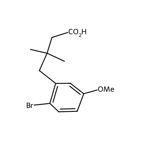 COc1ccc(Br)c(CC(C)(C)CC(=O)O)c1